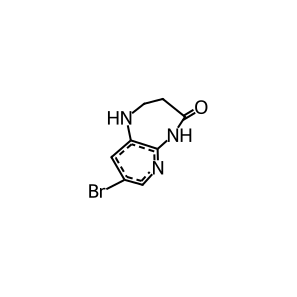 O=C1CCNc2cc(Br)cnc2N1